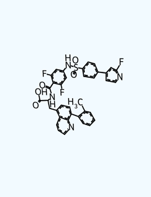 Cc1ccccc1-c1ccc(CC(NC(=O)c2c(F)cc(NS(=O)(=O)c3ccc(-c4ccnc(F)c4)cc3)cc2F)C(=O)O)c2cccnc12